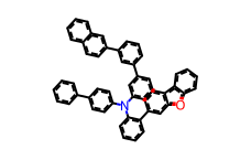 c1ccc(-c2ccc(N(c3cccc(-c4cccc(-c5ccc6ccccc6c5)c4)c3)c3ccccc3-c3ccc4c(c3)oc3ccccc34)cc2)cc1